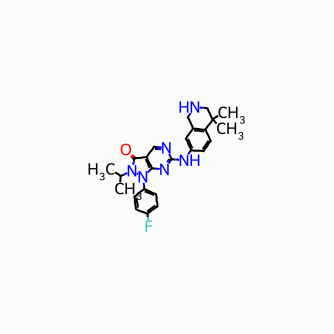 CC(C)n1c(=O)c2cnc(Nc3ccc4c(c3)CNCC4(C)C)nc2n1-c1ccc(F)cc1